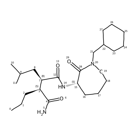 CCC[C@H](C(N)=O)[C@@H](CC(C)C)C(=O)N[C@H]1CCCCN(CC2CCCCC2)C1=O